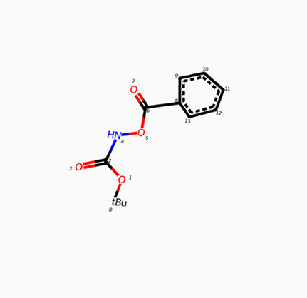 CC(C)(C)OC(=O)NOC(=O)c1ccccc1